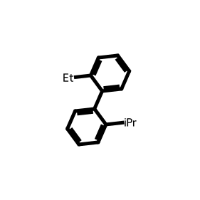 CCc1ccccc1-c1ccccc1C(C)C